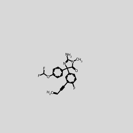 C=CC#Cc1cc(C2(c3ccc(OC(F)F)cc3)N=C(N)N(C)C2=O)ccc1F